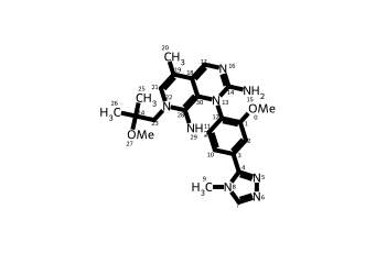 COc1cc(-c2nncn2C)ccc1N1C(N)=NC=C2C(C)=CN(CC(C)(C)OC)C(N)=C21